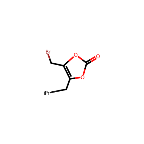 CC(C)Cc1oc(=O)oc1CBr